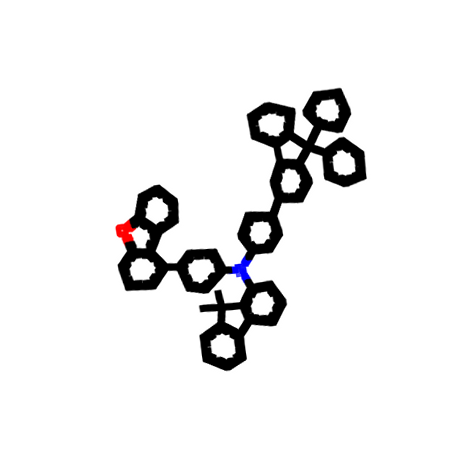 CC1(C)c2ccccc2-c2cccc(N(c3ccc(-c4ccc5c(c4)-c4ccccc4C5(c4ccccc4)c4ccccc4)cc3)c3ccc(-c4cccc5oc6ccccc6c45)cc3)c21